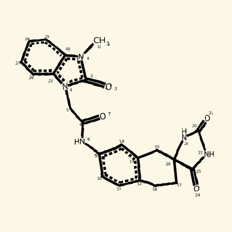 Cn1c(=O)n(CC(=O)Nc2ccc3c(c2)CC2(CC3)NC(=O)NC2=O)c2ccccc21